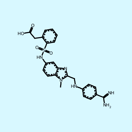 Cn1c(CNc2ccc(C(=N)N)cc2)nc2cc(NS(=O)(=O)c3ccccc3CC(=O)O)ccc21